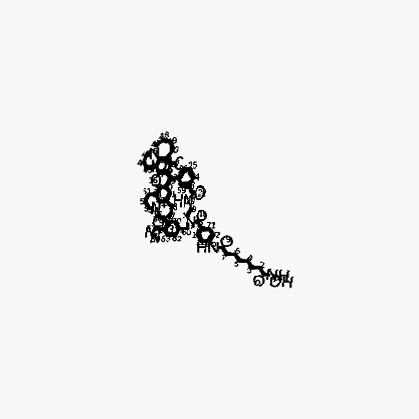 O=C(CCCCCCC(=O)Nc1ccc(C(=O)N(CCNC(=O)c2ccc(C(=O)O)c(C3=c4cc5c6c(c4Oc4c3cc3c7c4CCCN7CCCC3)CCC[N+]=6CCCC5)c2)Cc2ccc(C3(C(F)(F)F)N=N3)cc2)cc1)NO